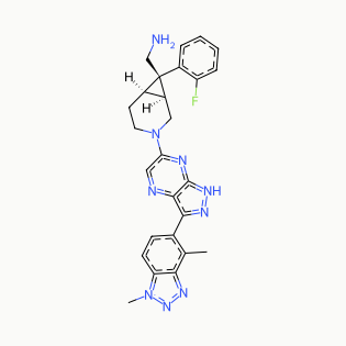 Cc1c(-c2n[nH]c3nc(N4CC[C@@H]5[C@H](C4)[C@@]5(CN)c4ccccc4F)cnc23)ccc2c1nnn2C